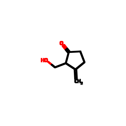 C=C1CCC(=O)C1CO